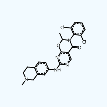 CC1Oc2nc(Nc3ccc4c(c3)CN(C)CC4)ncc2C(=O)N1c1c(Cl)cccc1Cl